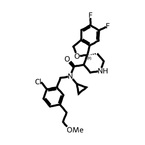 COCCc1ccc(Cl)c(CN(C(=O)C2CNCC[C@@]23OCc2cc(F)c(F)cc23)C2CC2)c1